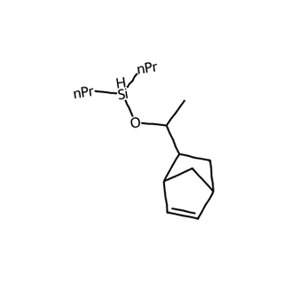 CCC[SiH](CCC)OC(C)C1CC2C=CC1C2